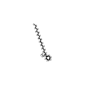 CCCCCCCCCCCCCCCCC[CH2][Sn][c]1ccccc1